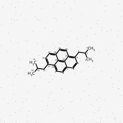 CC(C)Cc1ccc2ccc3c(CC(C)C)ccc4ccc1c2c43